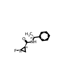 C[C@@H](NC(=O)[C@H]1C[C@H]1F)c1ccccc1